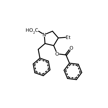 CCC1CN(C(=O)O)C(Cc2ccccc2)C1OC(=O)c1ccccc1